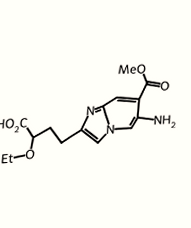 CCOC(CCc1cn2cc(N)c(C(=O)OC)cc2n1)C(=O)O